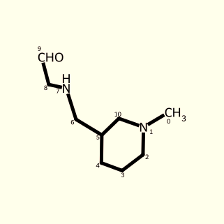 CN1CCCC(CNCC=O)C1